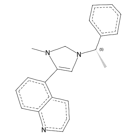 C[C@@H](c1ccccc1)N1C=C(c2cccc3ncccc23)N(C)C1